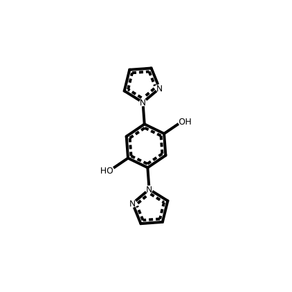 Oc1cc(-n2cccn2)c(O)cc1-n1cccn1